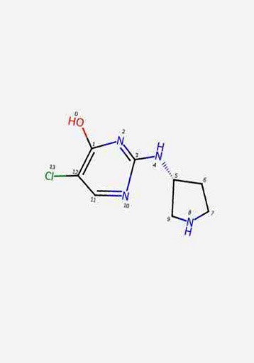 Oc1nc(N[C@@H]2CCNC2)ncc1Cl